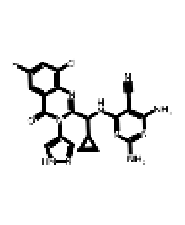 N#Cc1c(N)nc(N)nc1NC(c1nc2c(Cl)cc(F)cc2c(=O)n1-c1cn[nH]c1)C1CC1